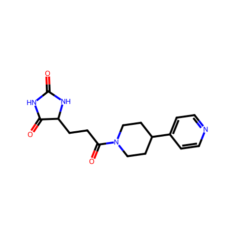 O=C1NC(=O)C(CCC(=O)N2CCC(c3ccncc3)CC2)N1